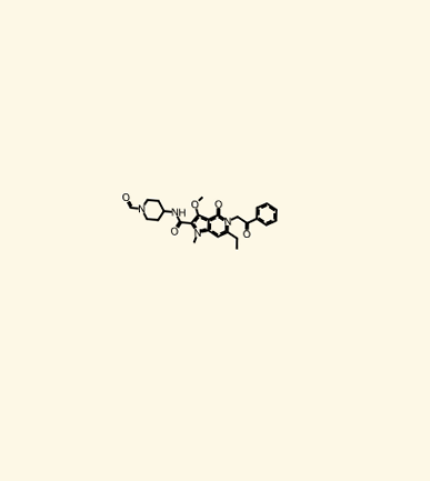 CCc1cc2c(c(OC)c(C(=O)NC3CCN(C=O)CC3)n2C)c(=O)n1CC(=O)c1ccccc1